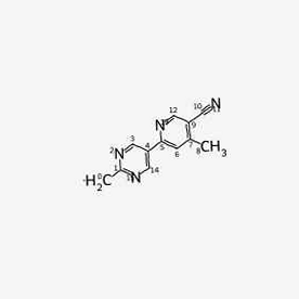 [CH2]c1ncc(-c2cc(C)c(C#N)cn2)cn1